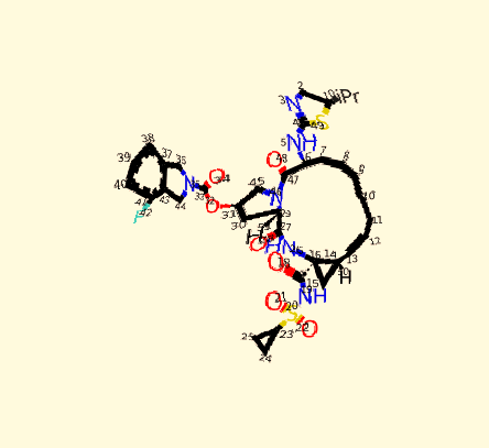 CC(C)C1CN=C(N[C@H]2CCCCC/C=C\[C@@H]3C[C@@]3(C(=O)NS(=O)(=O)C3CC3)NC(=O)[C@@H]3C[C@@H](OC(=O)N4Cc5cccc(F)c5C4)CN3C2=O)S1